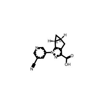 N#Cc1cncc(-n2nc(C(=O)O)c3c2[C@@H]2C[C@@H]2C3)c1